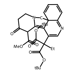 CCC(C(=O)OC(C)(C)C)(C(=O)OC(C)(C)C)C1=CN=C2C=CC=CC23CN2CCC(=O)C(C(=O)OC)C2=C13